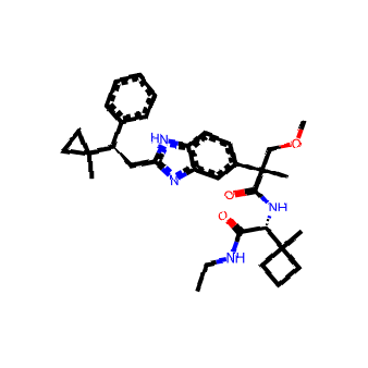 CCNC(=O)[C@H](NC(=O)C(C)(COC)c1ccc2[nH]c(C[C@H](c3ccccc3)C3(C)CC3)nc2c1)C1(C)CCC1